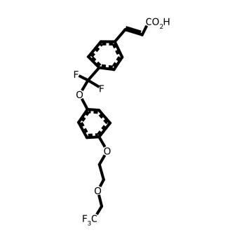 O=C(O)/C=C/c1ccc(C(F)(F)Oc2ccc(OCCOCC(F)(F)F)cc2)cc1